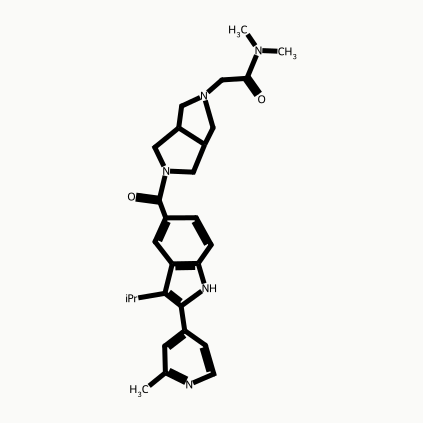 Cc1cc(-c2[nH]c3ccc(C(=O)N4CC5CN(CC(=O)N(C)C)CC5C4)cc3c2C(C)C)ccn1